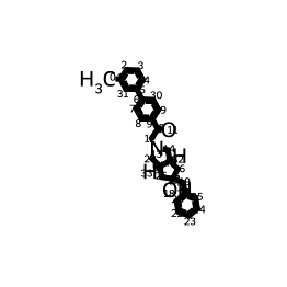 Cc1cccc(-c2ccc(C(=O)CN3C[C@@H]4C[C@](O)(Cc5ccccc5)C[C@@H]4C3)cc2)c1